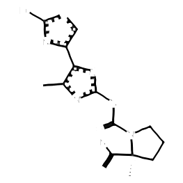 CCc1nc(-c2sc(NC(=O)N3CCC[C@@]3(C)C(N)=O)nc2C)cs1